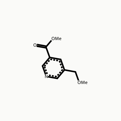 COCc1cncc(C(=O)OC)c1